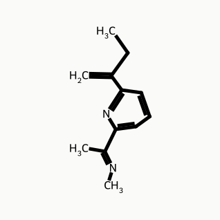 C=C(CC)c1cccc(/C(C)=N/C)n1